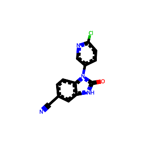 N#Cc1ccc2c(c1)[nH]c(=O)n2-c1ccc(Cl)nc1